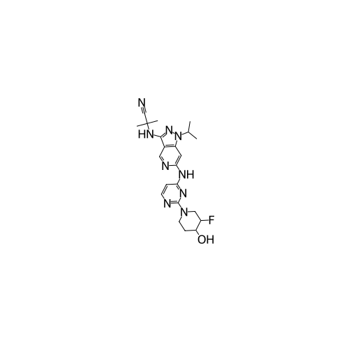 CC(C)n1nc(NC(C)(C)C#N)c2cnc(Nc3ccnc(N4CCC(O)C(F)C4)n3)cc21